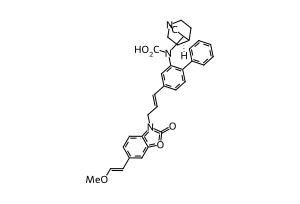 COC=Cc1ccc2c(c1)oc(=O)n2CC=Cc1ccc(-c2ccccc2)c(N(C(=O)O)[C@H]2CN3CCC2CC3)c1